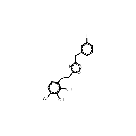 CC(=O)c1ccc(OCc2nc(Cc3cccc(I)c3)no2)c(C)c1O